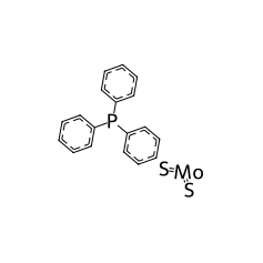 [S]=[Mo]=[S].c1ccc(P(c2ccccc2)c2ccccc2)cc1